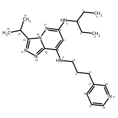 CCC(CC)Nc1cc(NCCCc2cccnc2)c2nnc(C(C)C)n2n1